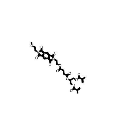 C=C(C)C(=O)OCC(COC(=O)C(=C)C)OC(=O)CCC(=O)OCCn1c(=O)c2cc3c(=O)n(CCOC)c(=O)c3cc2c1=O